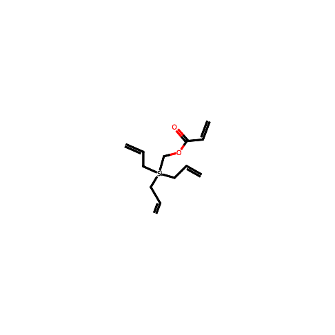 C=CC[Si](CC=C)(CC=C)COC(=O)C=C